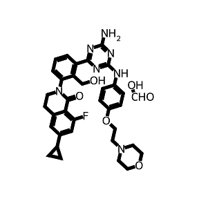 Nc1nc(Nc2ccc(OCCN3CCOCC3)cc2)nc(-c2cccc(N3CCc4cc(C5CC5)cc(F)c4C3=O)c2CO)n1.O=CO